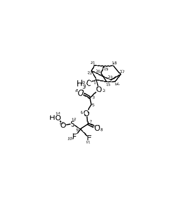 CC1(OC(=O)COC(=O)C(F)(F)SOO)C2CC3CC(C2)CC1C3